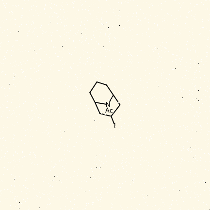 CC(=O)N1C2CCCC1CC(I)C2